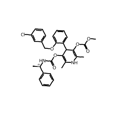 COC(=O)OC1=C(C)NC(C)=C(OC(=O)N[C@H](C)c2ccccc2)C1c1ccccc1OCc1cccc(Cl)c1